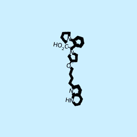 O=C(O)[C@H](c1ccccc1N1CCCC1)N1CC[C@@H](OCCCCc2ccc3c(n2)NCCC3)C1